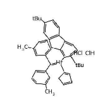 Cc1cccc([C](c2cccc(C)c2)=[Hf]([C]2=CC=CC2)[c]2c(C(C)(C)C)ccc3c2Cc2cc(C(C)(C)C)ccc2-3)c1.Cl.Cl